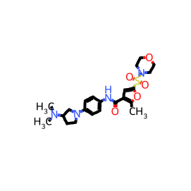 Cc1oc(S(=O)(=O)N2CCOCC2)cc1C(=O)Nc1ccc(N2CCC(N(C)C)C2)cc1